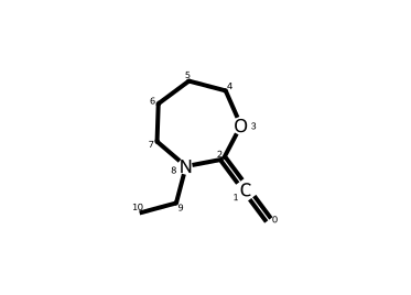 C=C=C1OCCCCN1CC